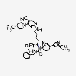 CCC/C(CCCCNc1ncc(C#N)c(N2CCC(C(F)(F)F)CC2)n1)=[N+](\C(=O)NCc1ccccc1)c1ccc(-c2cnn(C)c2)cn1